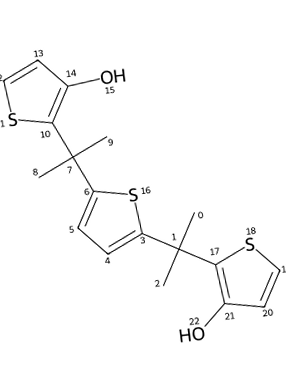 CC(C)(c1ccc(C(C)(C)c2sccc2O)s1)c1sccc1O